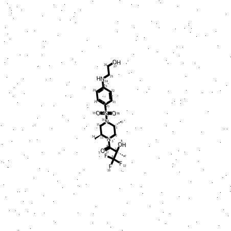 C[C@@H]1CN(C(=O)[C@@](C)(O)C(F)(F)F)[C@@H](C)CN1S(=O)(=O)c1ccc(NCCO)cc1